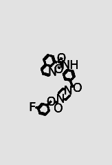 O=C(OC1C=C(F)C=CC1)N1CCN(C(=O)c2ccc(NS(=O)(=O)c3cccc4cccnc34)cc2)CC1